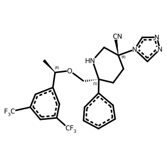 C[C@@H](OC[C@@]1(c2ccccc2)CC[C@@](C#N)(n2cnnc2)CN1)c1cc(C(F)(F)F)cc(C(F)(F)F)c1